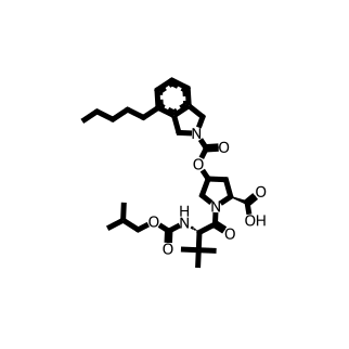 CCCCCc1cccc2c1CN(C(=O)OC1C[C@@H](C(=O)O)N(C(=O)[C@@H](NC(=O)OCC(C)C)C(C)(C)C)C1)C2